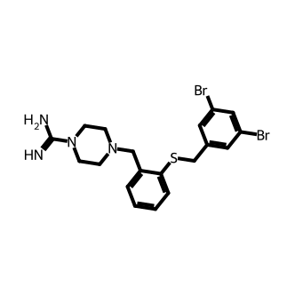 N=C(N)N1CCN(Cc2ccccc2SCc2cc(Br)cc(Br)c2)CC1